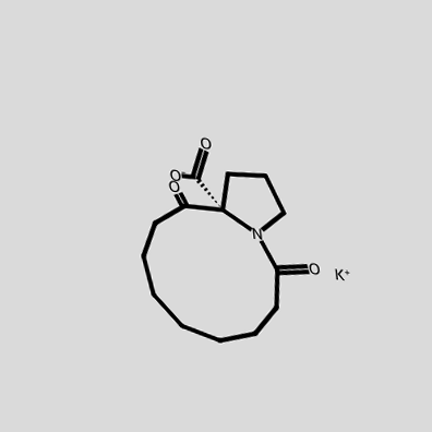 O=C1CCCCCCCC(=O)[C@@]2(C(=O)[O-])CCCN12.[K+]